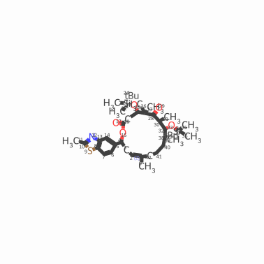 C/C1=C/CC(c2ccc3sc(C)nc3c2)OC(=O)CC(O[Si](C)(C)C(C)(C)C)C(C)(C)C(=O)C(C)C(O[Si](C)(C)C(C)(C)C)C(C)CCC1